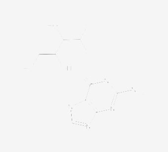 Nc1nc2nc[nH]c2c(=O)[nH]1.O=CC(O)C(O)C(O)CO